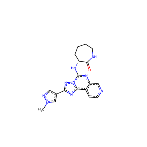 Cn1cc(-c2nc3c4ccncc4nc(N[C@@H]4CCCCNC4=O)n3n2)cn1